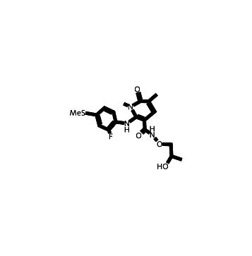 CSc1ccc(Nc2c(C(=O)NOCC(C)O)cc(C)c(=O)n2C)c(F)c1